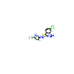 Fc1cc(Cl)ncc1NSc1c[nH]c2cc(Cl)ccc12